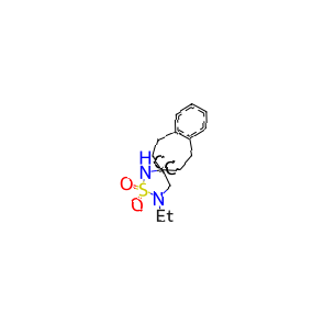 CCN1CC2(NS1(=O)=O)C1CCC2Cc2ccccc2C1